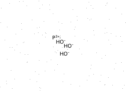 [OH-].[OH-].[OH-].[P+3]